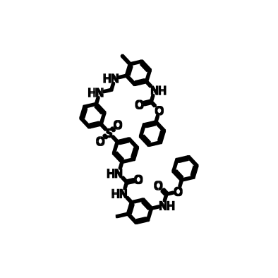 Cc1ccc(NC(=O)Oc2ccccc2)cc1NCNc1cccc(S(=O)(=O)c2cccc(NC(=O)Nc3cc(NC(=O)Oc4ccccc4)ccc3C)c2)c1